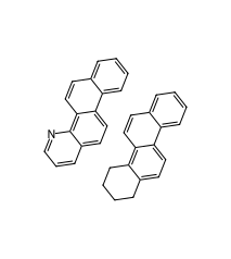 c1ccc2c(c1)ccc1c2ccc2cccnc21.c1ccc2c(c1)ccc1c3c(ccc12)CCCC3